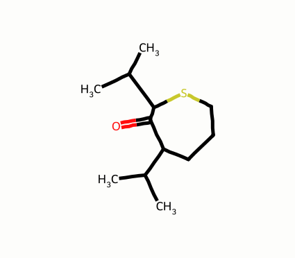 CC(C)C1CCCSC(C(C)C)C1=O